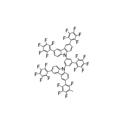 Cc1c(F)c(F)c(F)c(-c2ccc3c(c2)c2cc(-c4c(F)c(F)c(F)c(F)c4F)ccc2n3-c2cc(-c3c(F)c(F)c(F)c(F)c3F)cc(-n3c4ccc(-c5c(F)c(F)c(F)c(F)c5F)cc4c4cc(-c5c(F)c(F)c(F)c(F)c5F)ccc43)c2)c1F